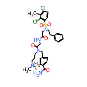 Cc1c(Cl)ccc(S(=O)(=O)N(CCc2ccccc2)CC(=O)NCC(=O)N(CCCN(C)C)Cc2ccc(C(N)=O)cc2)c1Cl